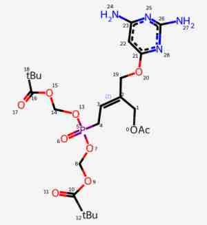 CC(=O)OC/C(=C\CP(=O)(OCOC(=O)C(C)(C)C)OCOC(=O)C(C)(C)C)COc1cc(N)nc(N)n1